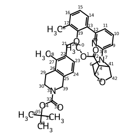 COC(=O)C1C2CN(c3cccc(-c4cccc(C)c4OCc4ccc5c(c4C)CCN(C(=O)OC(C)(C)C)C5)n3)C1CO2